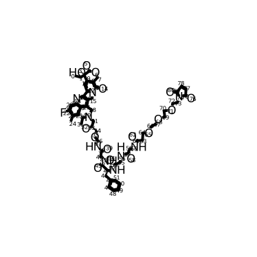 CC[C@@]1(O)C(=O)OCc2c1cc1n(c2=O)Cc2c-1nc1cc(F)c(C)cc1c2CN1CCO[C@H](COCNC(=O)CNC(=O)[C@H](Cc2ccccc2)NC(=O)CNC(=O)CNC(=O)CCOCCOCCOCCN2C(=O)C=CC2=O)C1